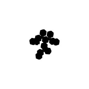 CC1(C)c2ccccc2-c2ccc(N(c3ccccc3)c3cc(-c4ccc5c(c4)c4ccccc4n5-c4ccc5ccccc5c4)cc(N(c4ccccc4)c4ccc5ccccc5c4)c3)cc21